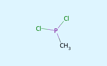 CP(Cl)Cl